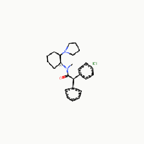 CN(C(=O)C(c1ccccc1)c1ccccc1)[C@H]1CCCCC1N1CCCC1.Cl